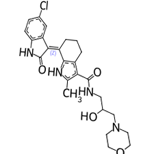 Cc1[nH]c2c(c1C(=O)NCC(O)CN1CCOCC1)CCC/C2=C1/C(=O)Nc2ccc(Cl)cc21